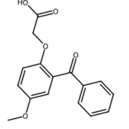 COc1ccc(OCC(=O)O)c(C(=O)c2ccccc2)c1